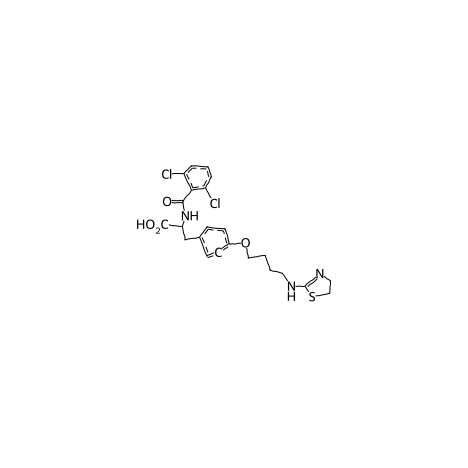 O=C(NC(Cc1ccc(OCCCCNC2=NCCS2)cc1)C(=O)O)c1c(Cl)cccc1Cl